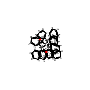 F[C](F)(F)[Cu]([PH](c1ccccc1)(c1ccccc1)c1ccccc1)([PH](c1ccccc1)(c1ccccc1)c1ccccc1)[PH](c1ccccc1)(c1ccccc1)c1ccccc1